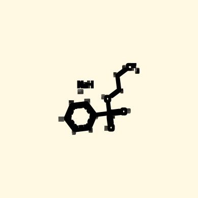 O=S(=O)(OCCC(F)(F)F)c1ccccc1.[NaH]